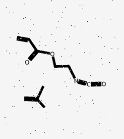 C=C(C)C.C=CC(=O)OCCN=C=O